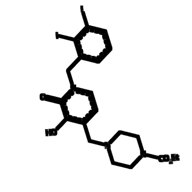 CCOC(=O)N1CCN(Cc2ccn(Cc3cccc(I)c3I)c(=O)c2O)CC1